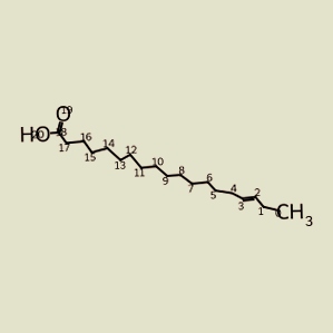 CCC=CCCCCCCCCCCCCCCC(=O)O